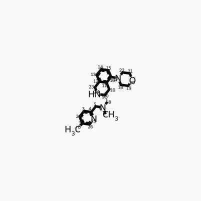 Cc1ccc(CN(C)C[C@H]2Cc3c(cccc3N3CCOCC3)CN2)nc1